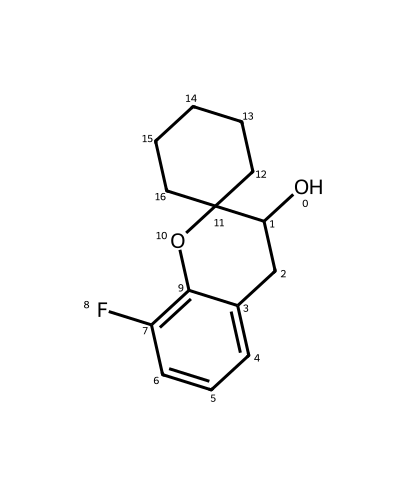 OC1Cc2cccc(F)c2OC12CCCCC2